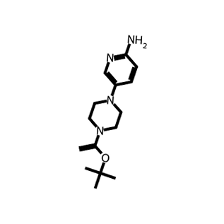 C=C(OC(C)(C)C)N1CCN(c2ccc(N)nc2)CC1